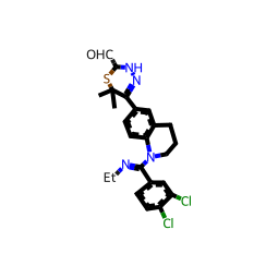 CCN=C(c1ccc(Cl)c(Cl)c1)N1CCCc2cc(C3=NNC(C=O)SC3(C)C)ccc21